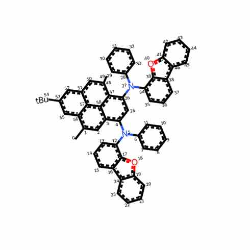 Cc1cc2c(N(c3ccccc3)c3cccc4c3oc3ccccc34)cc(N(c3ccccc3)c3cccc4c3oc3ccccc34)c3c(C)cc4cc(C(C)(C)C)cc1c4c23